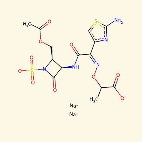 CC(=O)OC[C@H]1[C@@H](NC(=O)C(=NOC(C)C(=O)[O-])c2csc(N)n2)C(=O)N1S(=O)(=O)[O-].[Na+].[Na+]